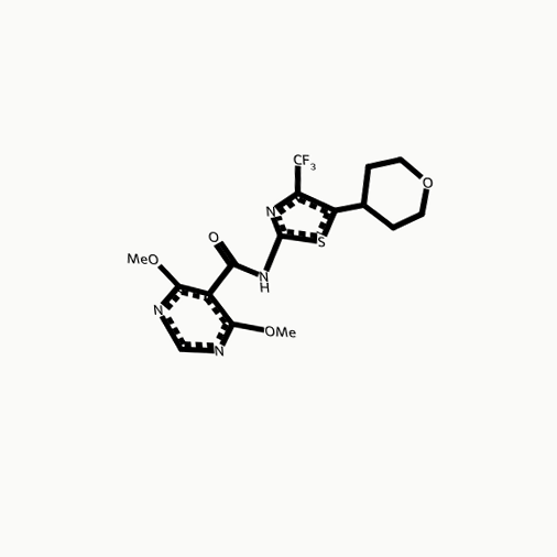 COc1ncnc(OC)c1C(=O)Nc1nc(C(F)(F)F)c(C2CCOCC2)s1